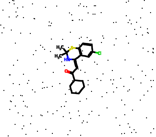 CC1(C)N/C(=C\C(=O)C2CCCCC2)c2cc(Cl)ccc2S1